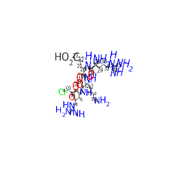 N=C(N)NCCC[C@H](NC(=O)[C@H](CCCCN)NC(=O)[C@H](CCC(=O)O)NC(=O)[C@@H](N)CCCNC(=N)N)C(=O)C(=O)CCl